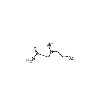 CC(=O)OCCN(CC(N)=S)C(C)=O